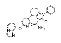 NC(=O)c1c2n(n(-c3ccccc3)c1=O)CCCC2c1ccc(Oc2cccn3ccnc23)nc1